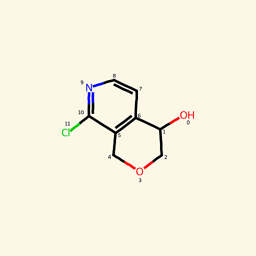 OC1COCc2c1ccnc2Cl